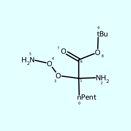 CCCCCC(N)(OON)C(=O)OC(C)(C)C